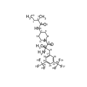 CCC(C)C(=O)NC1CCN(C(=O)[C@@](C)(N)Cc2cc(C(F)(F)F)cc(C(F)(F)F)c2)CC1